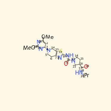 COc1cc(N2CCc3nc(NC(=O)N4CCC(C(=O)NC(C)C)C4)sc3C2)nc(OC)n1